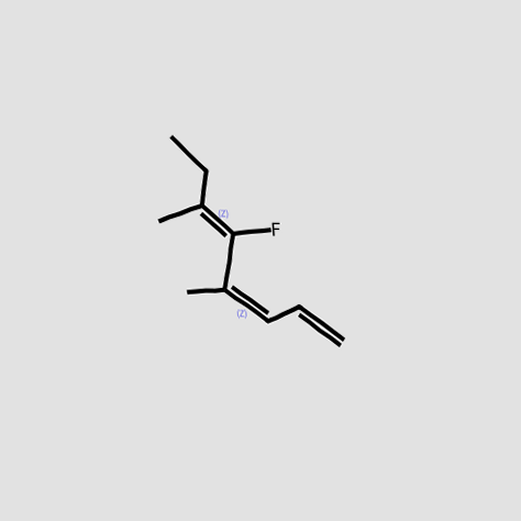 C=C/C=C(C)\C(F)=C(/C)CC